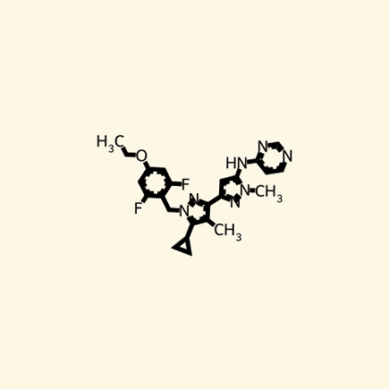 CCOc1cc(F)c(Cn2nc(-c3cc(Nc4ccncn4)n(C)n3)c(C)c2C2CC2)c(F)c1